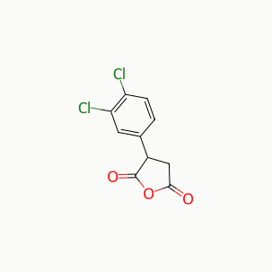 O=C1CC(c2ccc(Cl)c(Cl)c2)C(=O)O1